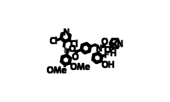 COc1ccc([C@H](Cc2c(Cl)cncc2Cl)OC(=O)c2ccc(CN(C(=O)O[C@H]3CN4CCC3CC4)c3cccc(O)c3F)cc2)cc1OC